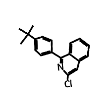 CC(C)(C)c1ccc(-c2nc(Cl)cc3ccccc23)cc1